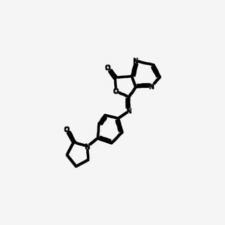 O=C1O/C(=N\c2ccc(N3CCCC3=O)cc2)c2nccnc21